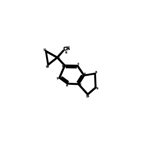 N#CC1(c2ccc3c(c2)CCC3)CC1